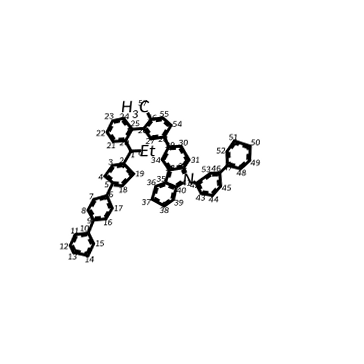 CCC(c1ccc(-c2ccc(-c3ccccc3)cc2)cc1)c1ccccc1-c1cc(-c2ccc3c(c2)c2ccccc2n3-c2cccc(-c3ccccc3)c2)ccc1C